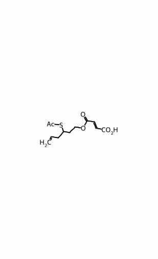 C=CCC(CCOC(=O)C=CC(=O)O)SC(C)=O